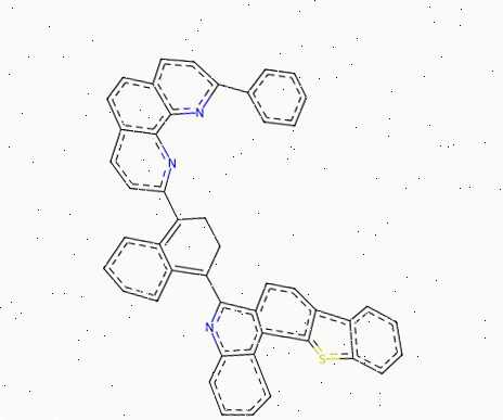 c1ccc(-c2ccc3ccc4ccc(C5=c6ccccc6=C(c6nc7ccccc7c7c6ccc6c8ccccc8sc67)CC5)nc4c3n2)cc1